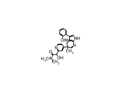 COc1ccccc1-c1c[nH]c2c1CC(C)(c1ccnc(C(O)C(=O)N(C)C)c1)C=N2